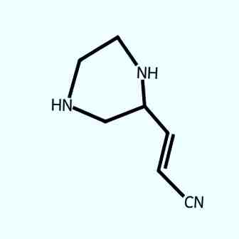 N#C/C=C/C1CNCCN1